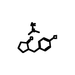 CC(=O)N(C)C.O=C1CCCC1Cc1ccc(Cl)cc1